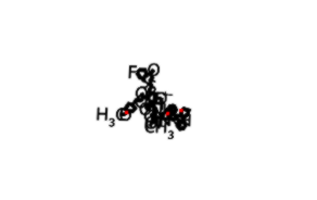 CO/N=C(\C(=O)NC1C(=O)N2C(C(=O)OCc3ccc(OC)cc3)=C(CSc3cc(=O)c4ccc(F)cc4s3)C[S+]([O-])[C@@H]12)c1csc(NC(c2ccccc2)(c2ccccc2)c2ccccc2)n1